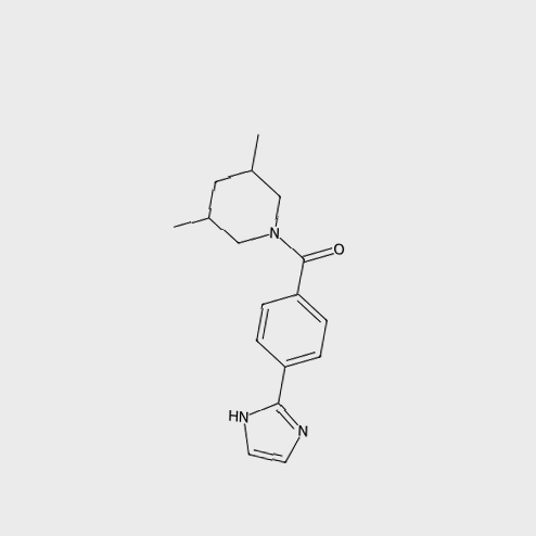 CC1CC(C)CN(C(=O)c2ccc(-c3ncc[nH]3)cc2)C1